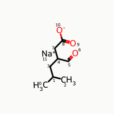 CC(C)CC(C=O)CC(=O)[O-].[Na+]